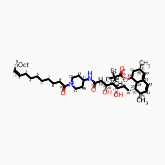 CCCCCCCC/C=C\CCCCCCCC(=O)N1CCC(NC(=O)C[C@H](O)C[C@@H](O)CC[C@@H]2C3C(=C[C@H](C)CC3OC(=O)C(C)(C)CC)C=C[C@@H]2C)CC1